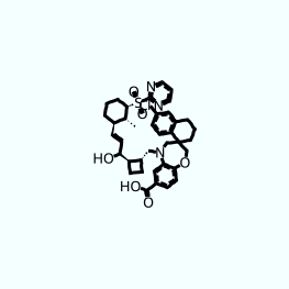 C[C@@H]1[C@@H](/C=C/C(O)[C@@H]2CC[C@H]2CN2CC3(CCCc4cc(Cl)ccc43)COc3ccc(C(=O)O)cc32)CCC[C@@H]1S(=O)(=O)c1ncccn1